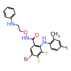 Cc1cc(I)ccc1Nc1c(C(=O)NOCCNc2ccccc2)cc(Br)c(F)c1F